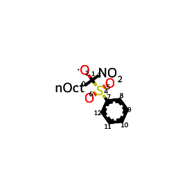 CCCCCCCCC([O])([N+](=O)[O-])S(=O)(=O)c1ccccc1